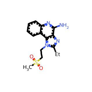 CCc1nc2c(N)nc3ccccc3c2n1CCS(C)(=O)=O